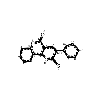 O=c1oc2ccccc2c2oc(=S)c(-c3ccccc3)cc12